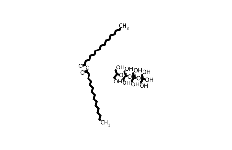 CCCCCCCCCCCCCCCC(=O)OC(=O)CCCCCCCCCCCCCCC.OCC(O)CO.OCC(O)CO.OCC(O)CO.OCC(O)CO